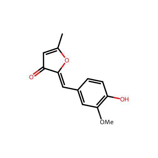 COc1cc(/C=C2\OC(C)=CC2=O)ccc1O